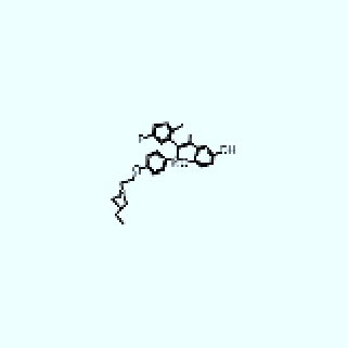 CCC1CN(CCOc2ccc([C@@H]3Oc4ccc(O)cc4C(C)=C3c3cc(F)ccc3C)cc2)C1